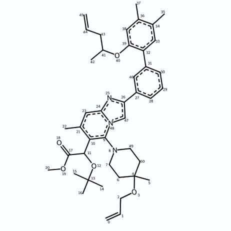 C=CCOC1(C)CCN(c2c(C(OC(C)(C)C)C(=O)OC)c(C)cc3nc(-c4cccc(-c5cc(C)c(C)cc5OC(C)CC=C)c4)cn23)CC1